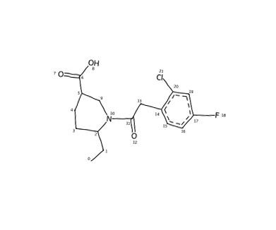 CCC1CCC(C(=O)O)CN1C(=O)Cc1ccc(F)cc1Cl